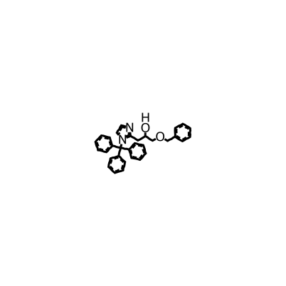 OC(COCc1ccccc1)Cc1nccn1C(c1ccccc1)(c1ccccc1)c1ccccc1